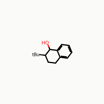 CC(C)(C)C1CCc2ccccc2C1O